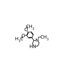 CCN1CCNCC1c1ccc(OC)c(OC)c1